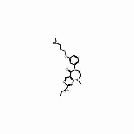 CCNc1ncc2c(n1)N(C)CCN(c1cccc(OCCCNC)c1)C2=O